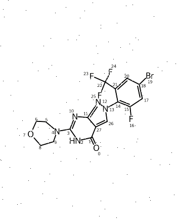 O=c1[nH]c(N2CCOCC2)nc2nn(-c3c(F)cc(Br)cc3C(F)(F)F)cc12